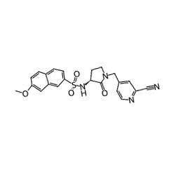 COc1ccc2ccc(S(=O)(=O)N[C@H]3CCN(Cc4ccnc(C#N)c4)C3=O)cc2c1